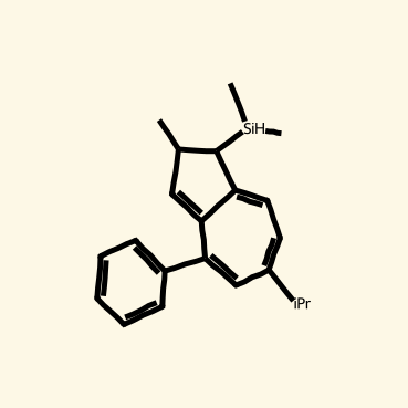 CC(C)C1=CC=C2C(=CC(C)C2[SiH](C)C)C(c2ccccc2)=C1